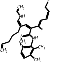 C=CCCCC(=C/NC=C)/C=C(C(/F)=C/C=C\CF)\C(=N\C)Nc1c(F)ccc(C)c1C